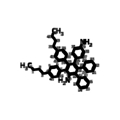 CCCCc1ccc(-c2c(N)c(-c3ccccc3)c(-c3ccccc3)c(-c3ccc(N)cc3)c2-c2ccc(CCCC)cc2)cc1